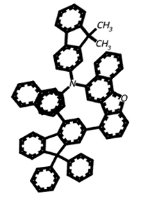 CC1(C)c2ccccc2-c2ccc(N(c3ccccc3)c3cc4c(oc5cccc(-c6cc(-c7ccc8ccccc8c7)c7c(c6)C(c6ccccc6)(c6ccccc6)c6ccccc6-7)c54)c4ccccc34)cc21